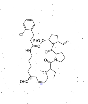 C=CC1CCC(C(=O)OCC)N1C(=O)C1CCCN1C(=O)C1CCC(/C=C\C[C@@H](C=O)CCCCNC(=O)CCc2ccccc2Cl)N1C